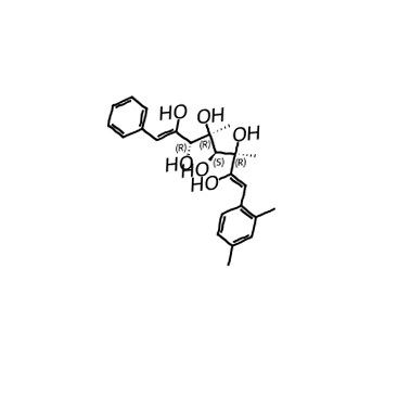 Cc1ccc(C=C(O)[C@](C)(O)[C@@H](O)[C@](C)(O)[C@H](O)C(O)=Cc2ccccc2)c(C)c1